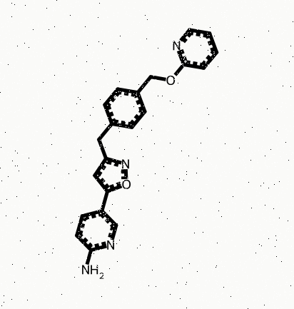 Nc1ccc(-c2cc(Cc3ccc(COc4ccccn4)cc3)no2)cn1